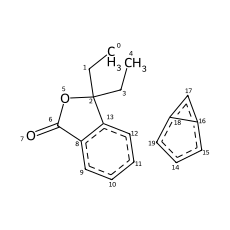 CCC1(CC)OC(=O)c2ccccc21.c1cc2cc-2c1